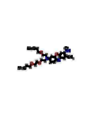 CCNc1cc2oc3c/c(=[N+](\CCOCCOC)CCOCCOCCOC)ccc-3nc2cc1C